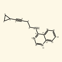 C(#CC1CC1)CCNc1ncnc2ccccc12